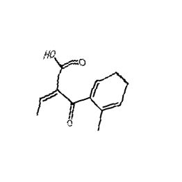 C/C=C(/C(=O)O)C(=O)C1=CCCC=C1C